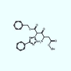 CC(C)(C)OC(=O)CC(N)C(=O)C(C(=O)OCc1ccccc1)n1nnc(-c2ccccc2)n1